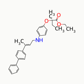 CCOC(=O)[C@@](C)(CC)Oc1ccc(NC/C=C(\C)c2ccc(-c3ccccc3)cc2)cc1